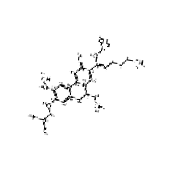 CCCCC=C(OCC)c1cn2c(cc1=O)-c1cc(OC)c(OCC(F)F)cc1CC2CC